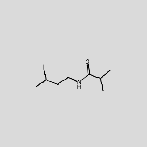 CC(I)CCNC(=O)C(C)C